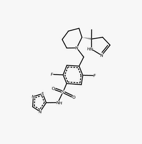 CC1([C@H]2CCCCN2Cc2cc(F)c(S(=O)(=O)Nc3ncns3)cc2F)CC=NN1